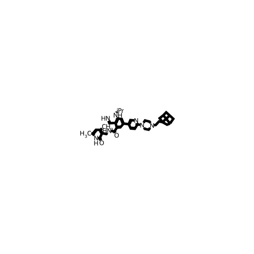 Cc1cc(C)c(CNC(=O)c2cc(-c3ccc(N4CCN(CCC56CC7CC8CC(C5)C876)CC4)nc3)cc(NC(C)C)c2C=N)c(=O)[nH]1